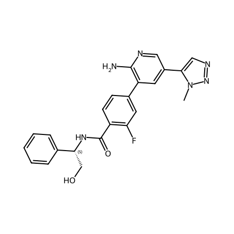 Cn1nncc1-c1cnc(N)c(-c2ccc(C(=O)N[C@H](CO)c3ccccc3)c(F)c2)c1